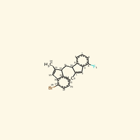 CC1=Cc2c(F)cccc2C1CC1C(C)=Cc2c(Br)cccc21